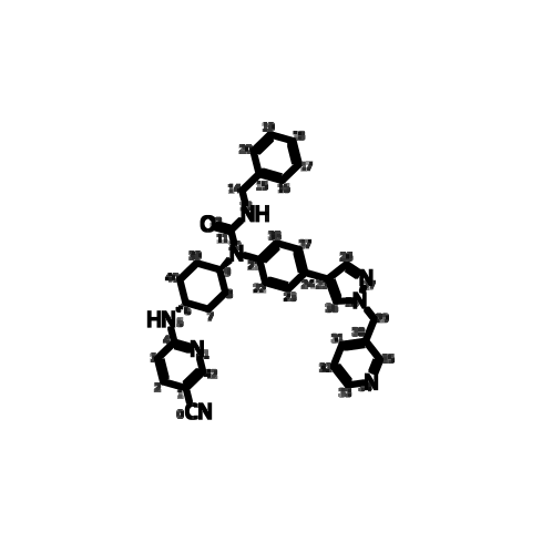 N#Cc1ccc(N[C@H]2CC[C@H](N(C(=O)NCc3ccccc3)c3ccc(-c4cnn(Cc5cccnc5)c4)cc3)CC2)nc1